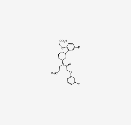 COCCN(C(=O)COc1cccc(Cl)c1)[C@@H]1C=C2c3cc(F)ccc3N(CC(=O)O)C2CC1